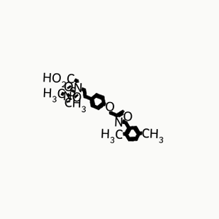 Cc1ccc(C)c(-c2nc(COc3ccc(CCN(CC(=O)O)S(=O)(=O)N(C)C)cc3)co2)c1